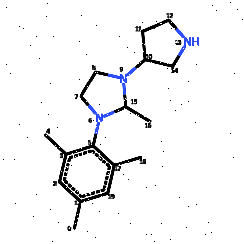 Cc1cc(C)c(N2CCN(C3CCNC3)C2C)c(C)c1